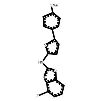 COc1ccc(-c2ccc(Nc3nc4c(F)cccc4s3)s2)cc1